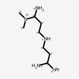 CCCC(N)CCNCCC(N)N(C)C